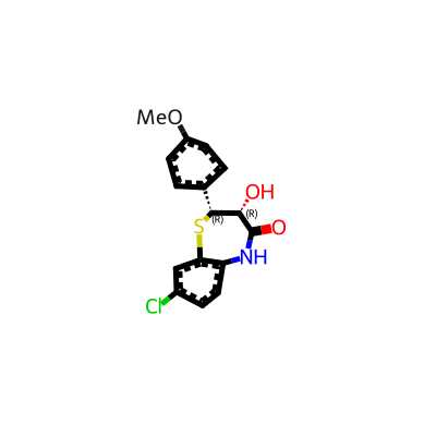 COc1ccc([C@H]2Sc3cc(Cl)ccc3NC(=O)[C@H]2O)cc1